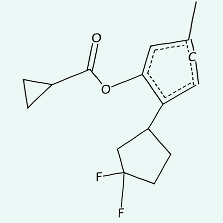 Cc1ccc(C2CCC(F)(F)C2)c(OC(=O)C2CC2)c1